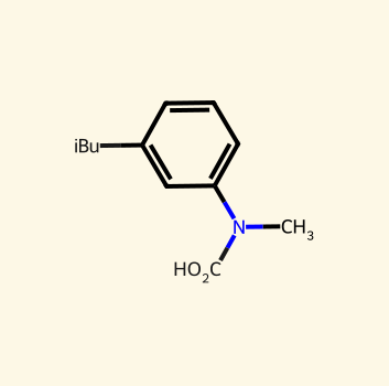 CCC(C)c1cccc(N(C)C(=O)O)c1